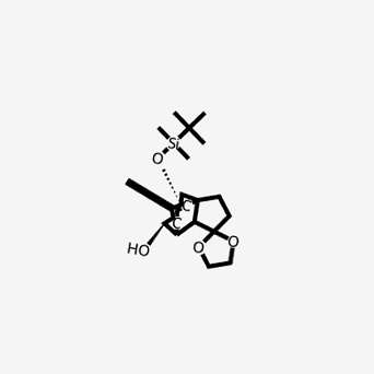 C=C1C[C@H](O)C2CCCC3(CCC4(OCCO4)C23)C[C@@H]1O[Si](C)(C)C(C)(C)C